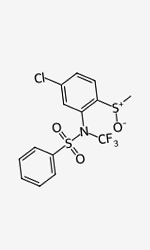 C[S+]([O-])c1ccc(Cl)cc1N(C(F)(F)F)S(=O)(=O)c1ccccc1